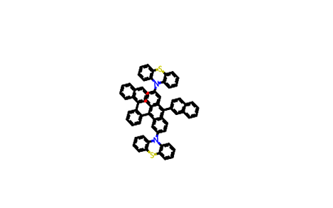 c1ccc2c(c1)Sc1ccccc1N2c1ccc2c(-c3ccccc3-c3cccc4ccccc34)c3cc(N4c5ccccc5Sc5ccccc54)ccc3c(-c3ccc4ccccc4c3)c2c1